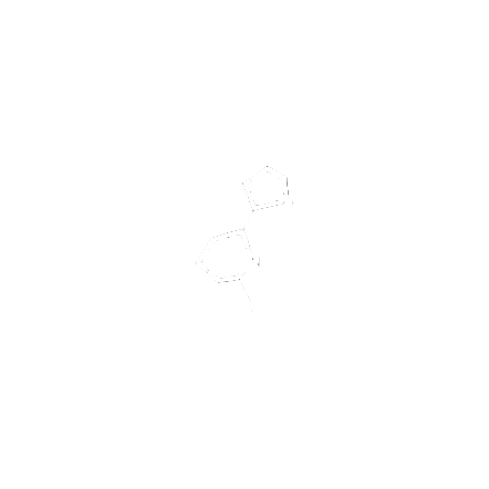 Cc1cccc(-c2ccco2)n1